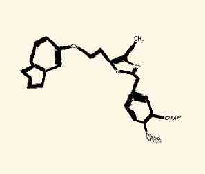 COc1ccc(-c2nc(CCOc3ccc4c(c3)CCC4)c(C)s2)cc1OC